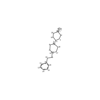 CCN1CCC(N2CCN(CCc3ccccc3)CC2)CC1